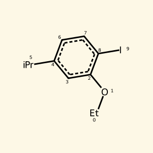 CCOc1cc(C(C)C)ccc1I